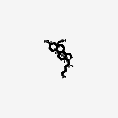 CC(C)CCC[C@@H](C)[C@H]1CCC2=C3CC[C@]4(CO)C[C@H](O)CC[C@]4(C)[C@H]3CC[C@@]21C